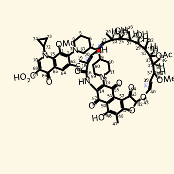 COc1c(N2CCCC(NC3CCN(C4=C5NC(=O)/C(C)=C\C=C\[C@H](C)[C@H](O)[C@@H](C)[C@@H](O)[C@@H](C)[C@H](OC(C)=O)[C@H](C)[C@@H](OC)/C=C/O[C@@]6(C)Oc7c(C)c(O)c(c(c7C6=O)C4=O)C5=O)CC3)C2)c(F)cc2c(=O)c(C(=O)O)cn(C3CC3)c12